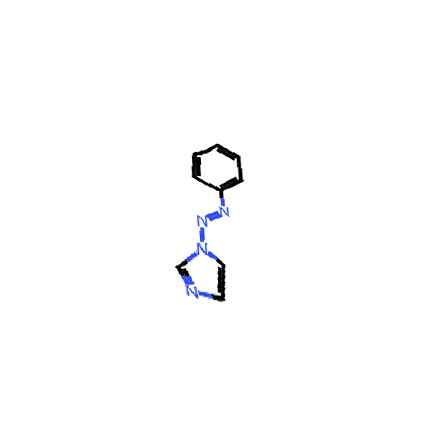 c1ccc(/N=N/n2ccnc2)cc1